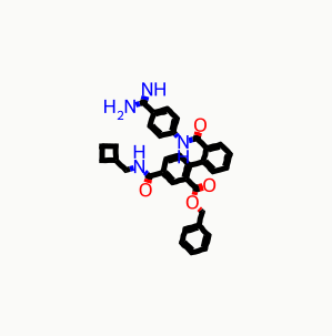 N=C(N)c1ccc(NC(=O)c2ccccc2-c2ccc(C(=O)NCC3CCC3)cc2C(=O)OCc2ccccc2)cc1